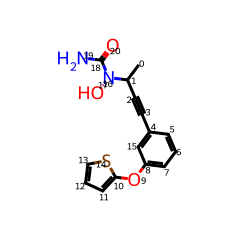 CC(C#Cc1cccc(Oc2cccs2)c1)N(O)C(N)=O